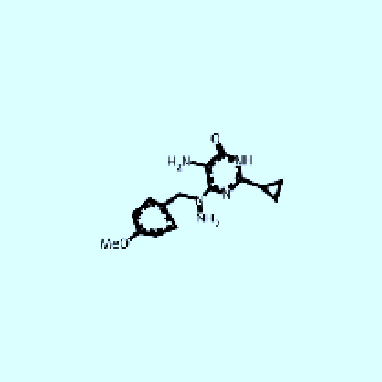 COc1ccc(CN(N)c2nc(C3CC3)[nH]c(=O)c2N)cc1